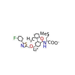 CSCC[C@H](NC(=O)c1ccc(COCc2cnc(-c3cccc(F)c3)s2)cc1-c1ccccc1C)C(=O)[O-].[Li+]